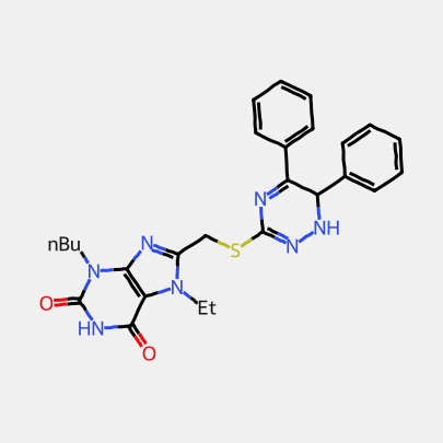 CCCCn1c(=O)[nH]c(=O)c2c1nc(CSC1=NNC(c3ccccc3)C(c3ccccc3)=N1)n2CC